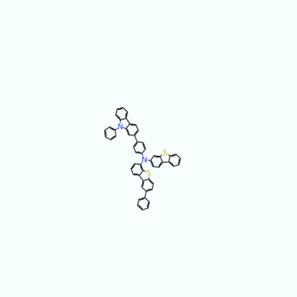 c1ccc(-c2ccc3sc4c(N(c5ccc(-c6ccc7c8ccccc8n(-c8ccccc8)c7c6)cc5)c5ccc6c(c5)sc5ccccc56)cccc4c3c2)cc1